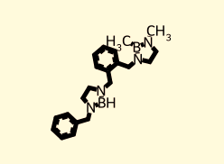 CB1N(C)CCN1Cc1ccccc1CN1BN(Cc2ccccc2)CC1